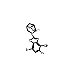 O=C(O)N1C2CC1CN(c1nc3c(O)c(Br)cc(Br)c3o1)C2